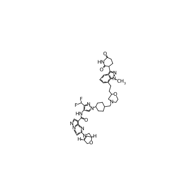 Cn1nc(C2CCC(=O)NC2=O)c2cccc(CCC3CN(CC4CCC(n5cc(NC(=O)c6cnn7ccc(N8C[C@H]9C[C@@H]8CO9)nc67)c(C(F)F)n5)CC4)CCO3)c21